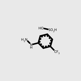 NNc1cccc(C(F)(F)F)c1.O=S(=O)(O)O